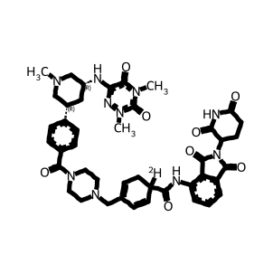 [2H]C1(C(=O)Nc2cccc3c2C(=O)N(C2CCC(=O)NC2=O)C3=O)C=CC(CN2CCN(C(=O)c3ccc([C@H]4C[C@@H](Nc5nn(C)c(=O)n(C)c5=O)CN(C)C4)cc3)CC2)=CC1